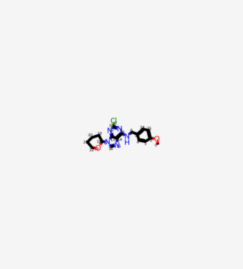 COc1ccc(CNc2nc(Cl)nc3c2ncn3C2CCCCO2)cc1